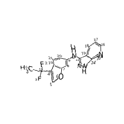 CC(F)(F)c1coc2cc(Nc3n[nH]c4ncccc34)ccc12